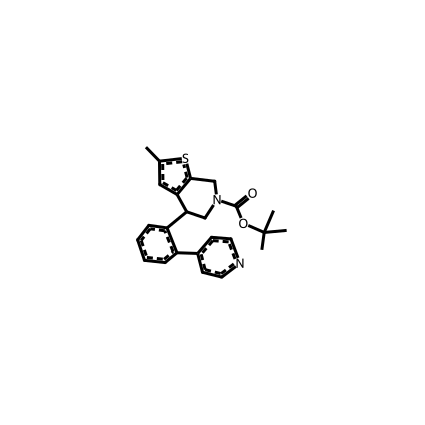 Cc1cc2c(s1)CN(C(=O)OC(C)(C)C)CC2c1ccccc1-c1ccncc1